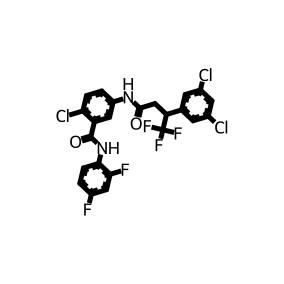 O=C(CC(c1cc(Cl)cc(Cl)c1)C(F)(F)F)Nc1ccc(Cl)c(C(=O)Nc2ccc(F)cc2F)c1